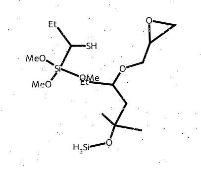 CCC(CC(C)(C)O[SiH3])OCC1CO1.CCC(S)[Si](OC)(OC)OC